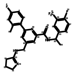 Cc1cc(F)ccc1-c1cc(CNC2=NCCC2)cc(C(=O)NC(C)c2ccc(F)c(C(F)(F)F)c2)n1